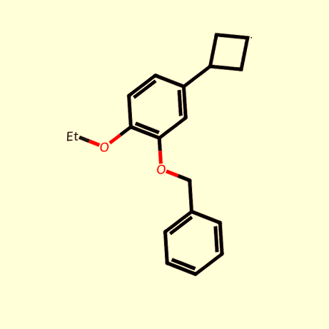 CCOc1ccc(C2C[CH]C2)cc1OCc1ccccc1